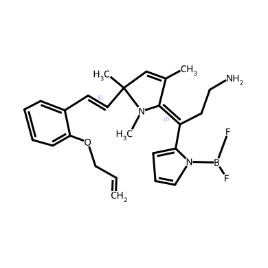 C=CCOc1ccccc1/C=C/C1(C)C=C(C)/C(=C(\CCN)c2cccn2B(F)F)N1C